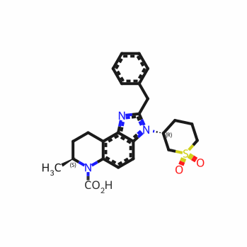 C[C@H]1CCc2c(ccc3c2nc(Cc2ccccc2)n3[C@@H]2CCCS(=O)(=O)C2)N1C(=O)O